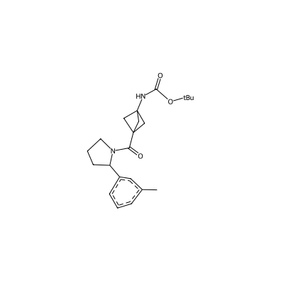 Cc1cccc(C2CCCN2C(=O)C23CC(NC(=O)OC(C)(C)C)(C2)C3)c1